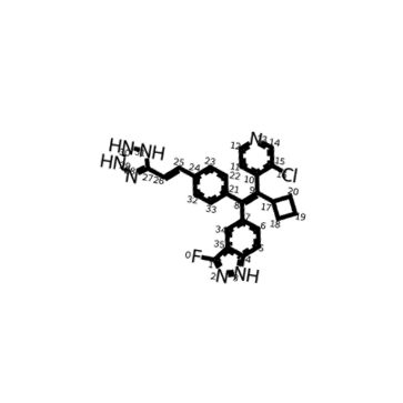 Fc1n[nH]c2ccc(/C(=C(/c3ccncc3Cl)C3CCC3)c3ccc(/C=C/C4=NNNN4)cc3)cc12